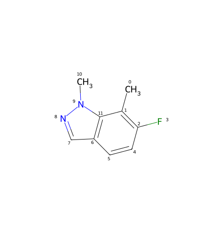 Cc1c(F)ccc2cnn(C)c12